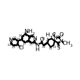 CN1C(=O)N(C)C2(CCC(=CC(=O)Nc3cc4cc(-c5cnccc5Cl)cc(N)c4cn3)CC2)C1=S